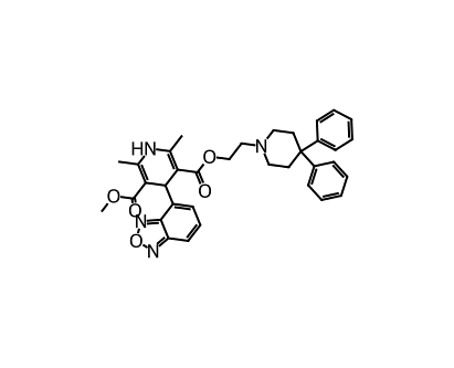 COC(=O)C1=C(C)NC(C)=C(C(=O)OCCN2CCC(c3ccccc3)(c3ccccc3)CC2)C1c1cccc2nonc12